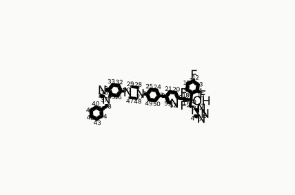 O[C@@](Cn1cnnn1)(c1ccc(F)cc1F)C(F)(F)c1ccc(-c2ccc(N3CCN(c4ccc5ncn(Cc6ccccc6)c5c4)CC3)cc2)cn1